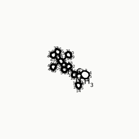 CC12CCCCCCC1(C)N(c1ccccc1)c1ccc(-c3ccc4c5c(-c6ccccc6)c6c7cccc8cccc(c6c(-c6ccccc6)c5c5cccc3c54)c87)cc12